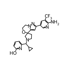 Nc1ncc(-c2cc3n(n2)CCOC32CCN(C(c3cccc(O)n3)C3CC3)C2)cc1C(F)(F)F